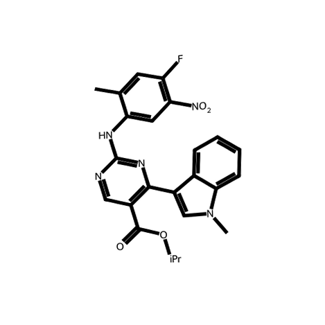 Cc1cc(F)c([N+](=O)[O-])cc1Nc1ncc(C(=O)OC(C)C)c(-c2cn(C)c3ccccc23)n1